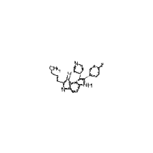 CCCCc1nc2ccc3[nH]c(-c4ccc(F)cc4)c(-c4ccncc4)c3c2[nH]1